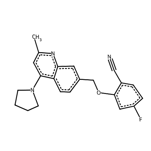 Cc1cc(N2CCCC2)c2ccc(COc3cc(F)ccc3C#N)cc2n1